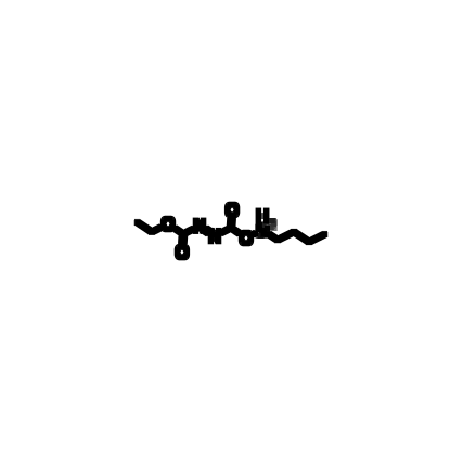 CCCC[SiH2]OC(=O)N=NC(=O)OCC